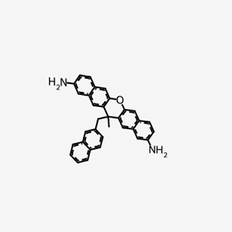 CC1(Cc2ccc3ccccc3c2)c2cc3cc(N)ccc3cc2Oc2cc3ccc(N)cc3cc21